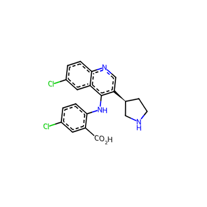 O=C(O)c1cc(Cl)ccc1Nc1c([C@H]2CCNC2)cnc2ccc(Cl)cc12